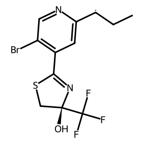 CC[CH]c1cc(C2=N[C@](O)(C(F)(F)F)CS2)c(Br)cn1